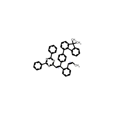 C/C=C\c1ccccc1/C(=C/c1nc(-c2ccccc2)nc(-c2ccccc2)n1)c1ccc(-c2cccc3c2-c2ccccc2C3(C)C)cc1